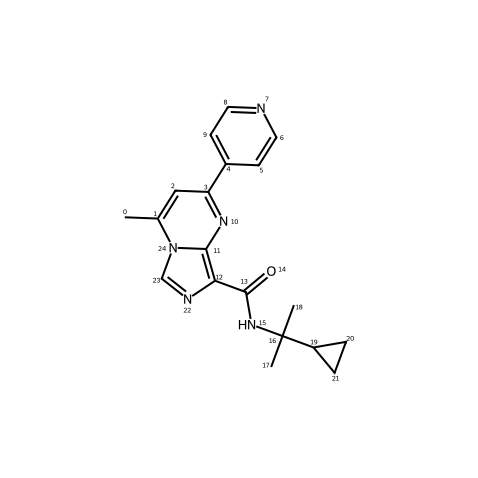 Cc1cc(-c2ccncc2)nc2c(C(=O)NC(C)(C)C3CC3)ncn12